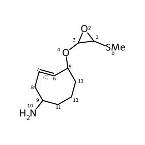 CSC1OC1OC1/C=C/CC(N)CCC1